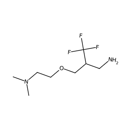 CN(C)CCOCC(CN)C(F)(F)F